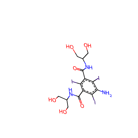 Nc1c(I)c(C(=O)NC(CO)CO)c(I)c(C(=O)NC(CO)CO)c1I